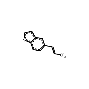 FC(F)(F)/C=C/c1ccc2sccc2c1